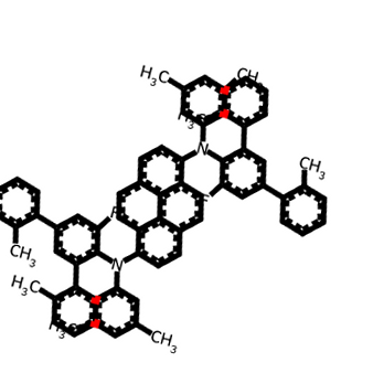 Cc1cc(C)cc(N(c2c(F)cc(-c3ccccc3C)cc2-c2ccccc2C)c2ccc3ccc4c(N(c5cc(C)cc(C)c5)c5c(F)cc(-c6ccccc6C)cc5-c5ccccc5C)ccc5ccc2c3c54)c1